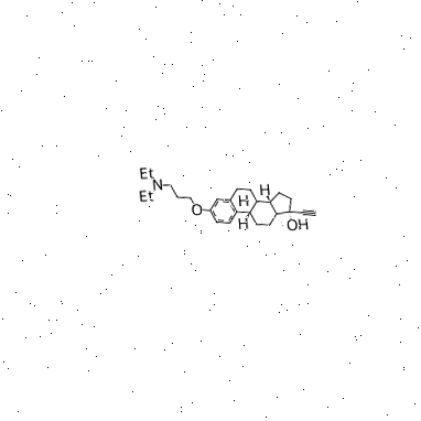 C#C[C@]1(O)CC[C@H]2[C@@H]3CCc4cc(OCCCN(CC)CC)ccc4[C@H]3CC[C@@]21C